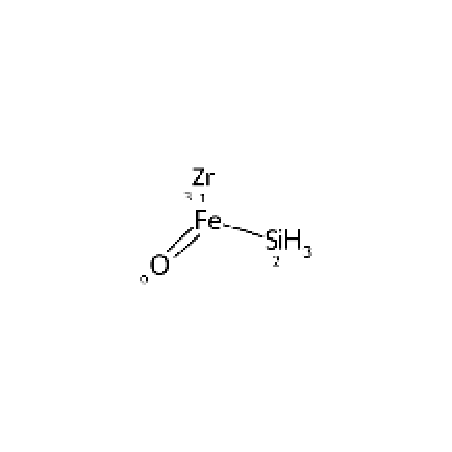 [O]=[Fe][SiH3].[Zr]